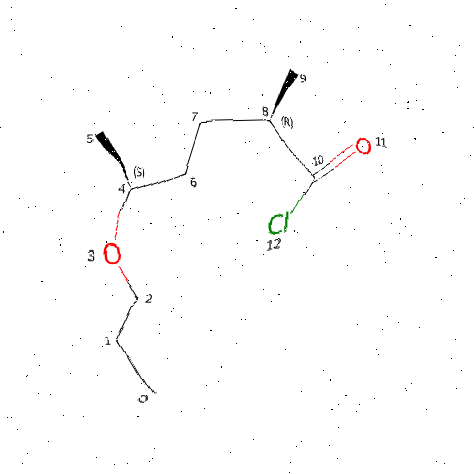 CCCO[C@@H](C)CC[C@@H](C)C(=O)Cl